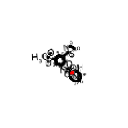 CS(=O)(=O)c1cc(-c2nccs2)c2oc(N3CC4CC(C3)N4C(=O)O)nc2c1